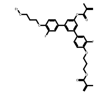 C=C(C)C(=O)OCCCOc1ccc(-c2cc(OC(=O)C(=C)C)cc(-c3ccc(OCCCOCC)c(F)c3)c2)cc1F